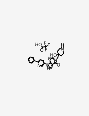 O=C(O)C(F)(F)F.O=c1c2cnn(-c3ccc(-c4ccccc4)nc3)c2ncn1CC1(O)CCNCC1